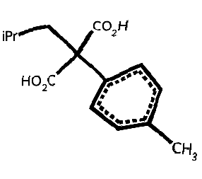 Cc1ccc(C(CC(C)C)(C(=O)O)C(=O)O)cc1